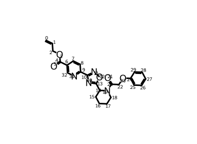 C=CCOC(=O)c1ccc(-c2noc(C3CCCCN3C(=O)COc3ccccc3)n2)nc1